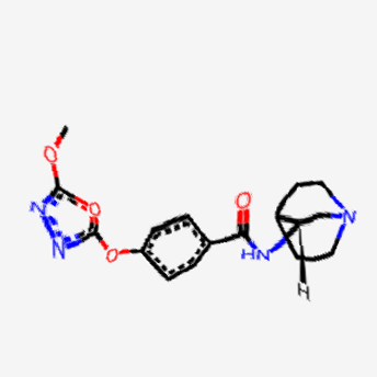 COc1nnc(Oc2ccc(C(=O)N[C@H]3CN4CCC3CC4)cc2)o1